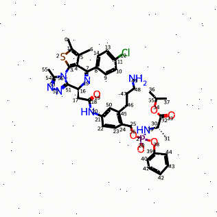 Cc1sc2c(c1C)C(c1ccc(Cl)cc1)=N[C@@H](CC(=O)Nc1ccc(COP(=O)(N[C@@H](C)C(=O)OC(C)C)Oc3ccccc3)c(CCCN)c1)c1nnc(C)n1-2